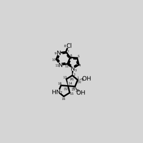 O[C@H]1[C@H](n2ccc3c(Cl)ncnc32)C[C@]2(CCNC2)[C@H]1O